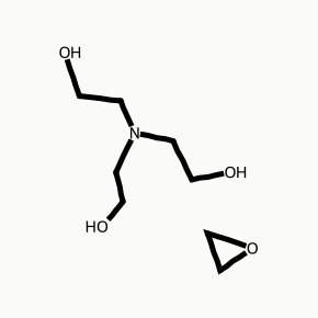 C1CO1.OCCN(CCO)CCO